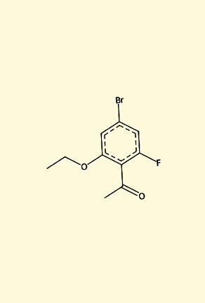 CCOc1cc(Br)cc(F)c1C(C)=O